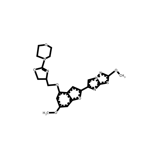 COc1cc(OCC2COC(N3CCOCC3)=N2)c2cc(-c3cn4nc(OC)sc4n3)oc2c1